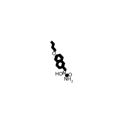 CCCCOc1ccc2c(c1)CCC(CN(O)C(N)=O)=C2